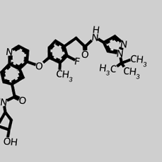 Cc1c(Oc2ccnc3ccc(C(=O)NC4CC(O)C4)cc23)ccc(CC(=O)Nc2cnn(C(C)(C)C)c2)c1F